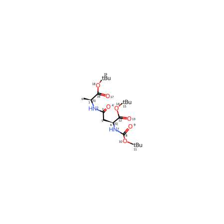 C[C@H](NC(=O)C[C@H](NC(=O)OC(C)(C)C)C(=O)OC(C)(C)C)C(=O)OC(C)(C)C